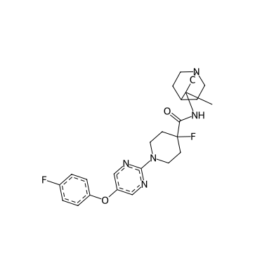 CC1(NC(=O)C2(F)CCN(c3ncc(Oc4ccc(F)cc4)cn3)CC2)CN2CCC1CC2